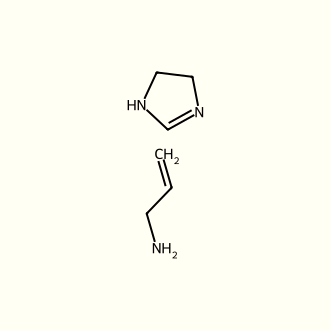 C1=NCCN1.C=CCN